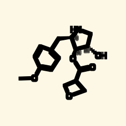 COc1ccc(C[C@H]2NC[C@H](O)[C@H]2OC(=O)C2COC2)cc1